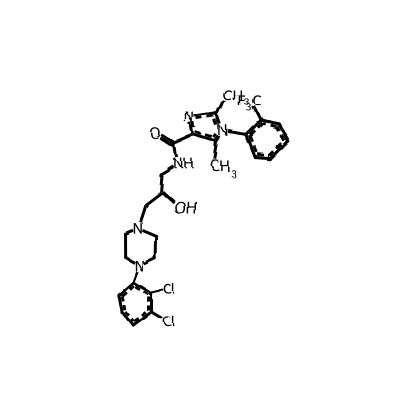 Cc1nc(C(=O)NCC(O)CN2CCN(c3cccc(Cl)c3Cl)CC2)c(C)n1-c1ccccc1C(F)(F)F